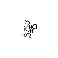 CCOC(O)C(F)c1nc2ccccc2n1C(=O)OC(C)(C)C